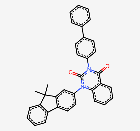 CC1(C)c2ccccc2-c2ccc(-n3c(=O)n(-c4ccc(-c5ccccc5)cc4)c(=O)c4ccccc43)cc21